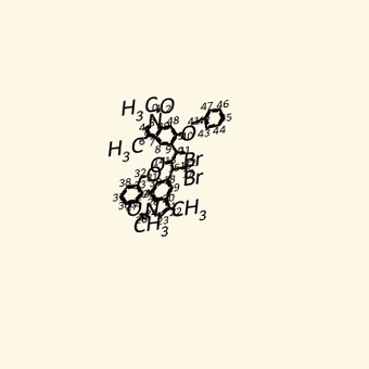 CC(=O)n1cc(C)c2cc(C(CBr)C(=O)C(CBr)c3cc4c(C)cn(C(C)=O)c4cc3OCc3ccccc3)c(OCc3ccccc3)cc21